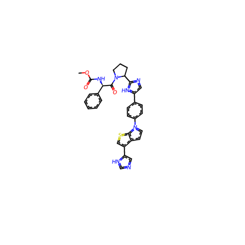 COC(=O)N[C@@H](C(=O)N1CCCC1c1ncc(-c2ccc(-n3ccc4c(-c5cnc[nH]5)csc43)cc2)[nH]1)c1ccccc1